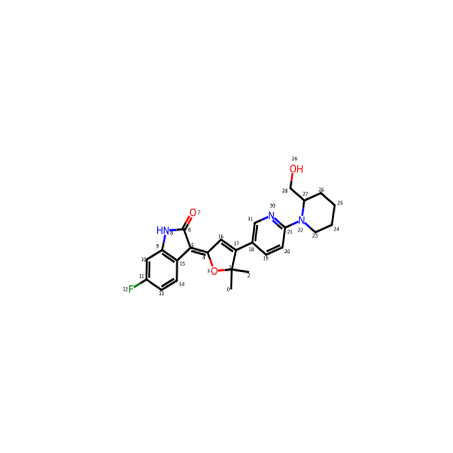 CC1(C)O/C(=C2/C(=O)Nc3cc(F)ccc32)C=C1c1ccc(N2CCCCC2CO)nc1